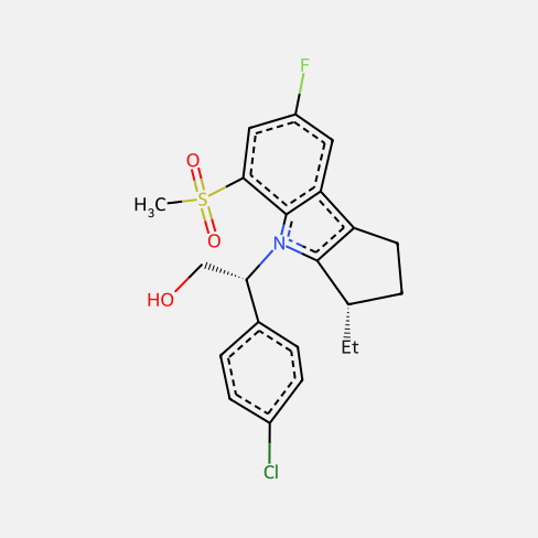 CC[C@H]1CCc2c1n([C@@H](CO)c1ccc(Cl)cc1)c1c(S(C)(=O)=O)cc(F)cc21